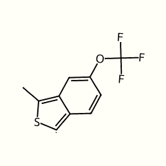 Cc1s[c]c2ccc(OC(F)(F)F)cc12